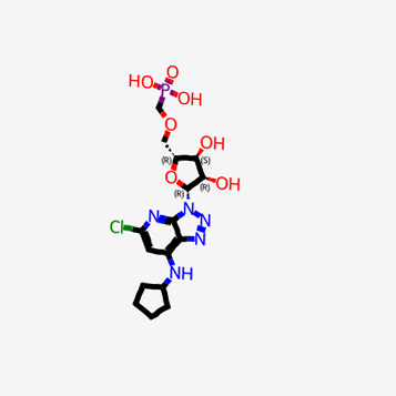 O=P(O)(O)COC[C@H]1O[C@@H](n2nnc3c(NC4CCCC4)cc(Cl)nc32)[C@H](O)[C@@H]1O